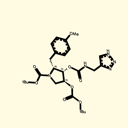 COc1ccc(C[C@@H]2[C@H](OC(=O)NCc3c[nH]nn3)[C@@H](OC(=O)OC(C)(C)C)CN2C(=O)OC(C)(C)C)cc1